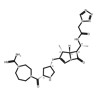 C[C@@H](NC(=O)Cn1cnnn1)[C@H]1C(=O)N2C=C(S[C@@H]3CN[C@H](C(=O)N4CCCN(C(=N)N)CC4)C3)[C@H](C)[C@H]12